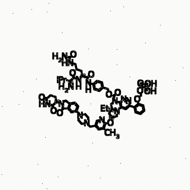 CC[C@@]12C[C@@H](Oc3ncc(CN4CCN(c5ccc6c(c5)C(=O)N([C@H]5CCC(=O)NC5=O)C6)CC4)cc3C)CN1c1cc(-c3ccccc3OCOP(=O)(O)O)nnc1N(C(=O)OCc1ccc(NC(=O)[C@H](CCCNC(N)=O)NC(=O)[C@@H](N)C(C)C)cc1)C2